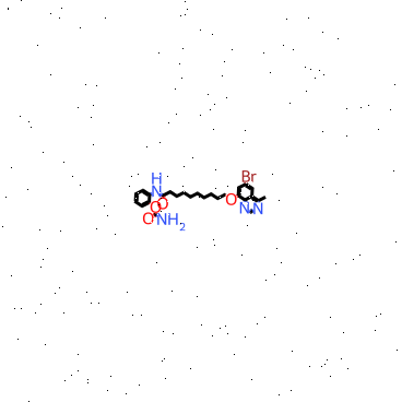 Cc1ncnc2c(OCCCCCCCCCC(=O)Nc3ccccc3OC(N)=O)cc(Br)cc12